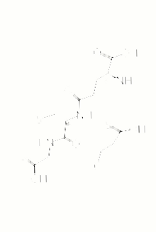 CCCC(O)=S.N[C@@H](CCC(=O)N[C@@H](CS)C(=O)NCC(=O)O)C(=O)O